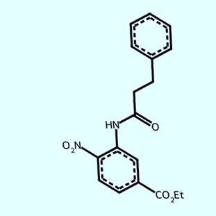 CCOC(=O)c1ccc([N+](=O)[O-])c(NC(=O)CCc2ccccc2)c1